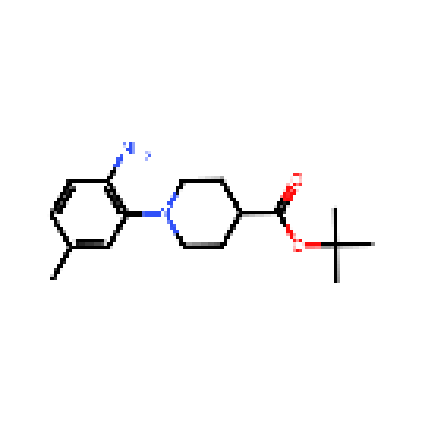 Cc1ccc(N)c(N2CCC(C(=O)OC(C)(C)C)CC2)c1